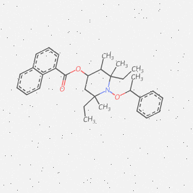 CCC1(C)CC(OC(=O)c2cccc3ccccc23)C(C)C(C)(CC)N1OC(C)c1ccccc1